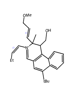 CC/C=C\[N+]1=Cc2cc(C(C)(C)C)c3ccccc3c2C(CO)C1(C)/C=C/COC